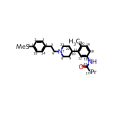 CSc1ccc(CCN2CCC(c3cc(NC(=O)C(C)C)ccc3C)CC2)cc1